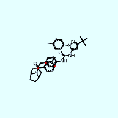 Cc1ccc(-n2nc(C(C)(C)C)cc2NC(=O)Nc2ccc(CC3CC4CCC(C3)N4C(=O)c3cccc(C)n3)cc2)cc1